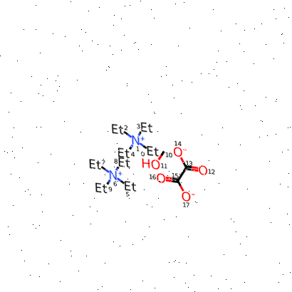 CC[N+](CC)(CC)CC.CC[N+](CC)(CC)CC.CO.O=C([O-])C(=O)[O-]